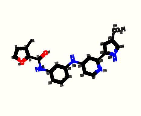 Cc1ccoc1C(=O)Nc1cccc(Nc2ccnc(-c3cc(C(=O)O)c[nH]3)c2)c1